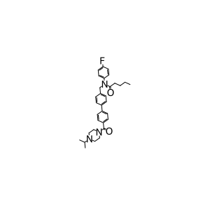 CCCCC(=O)N(Cc1ccc(-c2ccc(C(=O)N3CCN(C(C)C)CC3)cc2)cc1)c1ccc(F)cc1